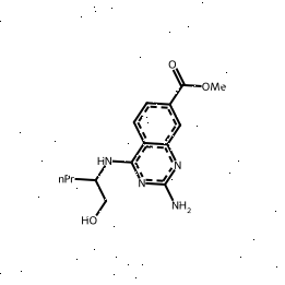 CCCC(CO)Nc1nc(N)nc2cc(C(=O)OC)ccc12